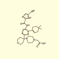 C#Cc1cnc(C(=O)Nc2ccc(C3(N4CCN(CC(=O)O)CC4)CCOCC3)cc2C2=CCC(C)(C)CC2)[nH]1